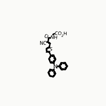 N#C/C(=C\c1ccc(-c2ccc(N(c3ccccc3)c3ccccc3)cc2)s1)C(=O)NCC(=O)O